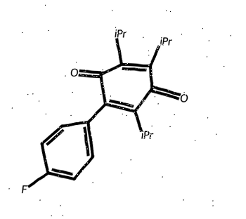 CC(C)C1=C(c2ccc(F)cc2)C(=O)C(C(C)C)=C(C(C)C)C1=O